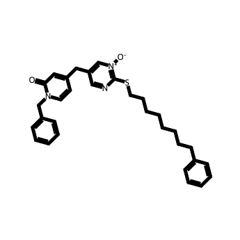 O=c1cc(Cc2cnc(SCCCCCCCCc3ccccc3)[n+]([O-])c2)ccn1Cc1ccccc1